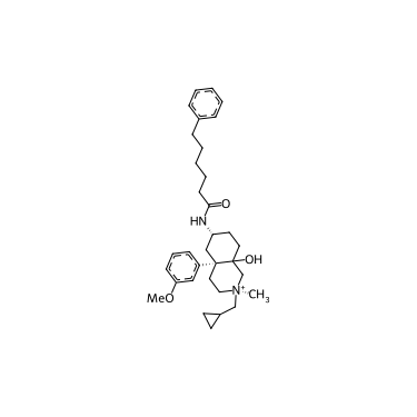 COc1cccc([C@@]23CC[N@+](C)(CC4CC4)CC2(O)CC[C@@H](NC(=O)CCCCCc2ccccc2)C3)c1